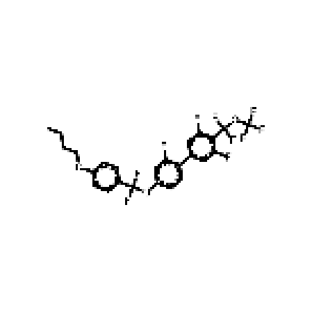 CCCCOc1ccc(C(F)(F)Oc2ccc(-c3cc(F)c(C(F)(F)OC(F)(F)F)c(F)c3)c(F)c2)cc1